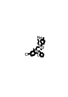 CC[C@H](Cc1nc2cc(Cl)ccc2c(=O)n1Cc1ccccc1)N(CCCN)C(=O)c1ccc(C)cc1